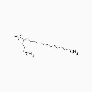 [CH2]C(CCCC)CCCCCCCCCCCCCC